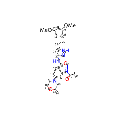 C=CC(=O)Nc1cc(N2CC(C)OC(C)C2)ccc1C(=O)Nc1cc(CCc2cc(OC)cc(OC)c2)[nH]n1